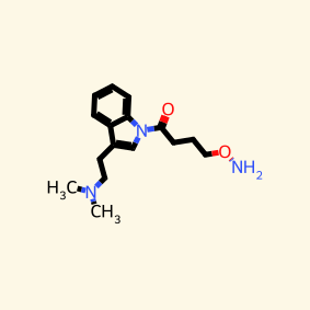 CN(C)CCc1cn(C(=O)CCCON)c2ccccc12